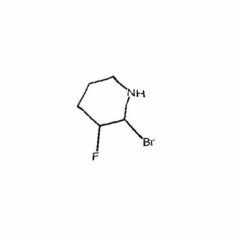 FC1CCCNC1Br